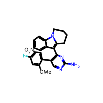 COc1cc(F)c([N+](=O)[O-])cc1-c1cnc(N)nc1-c1c2n(c3ccccc13)CCCC2